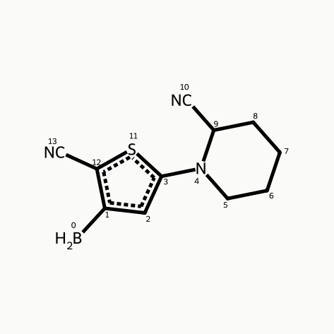 Bc1cc(N2CCCCC2C#N)sc1C#N